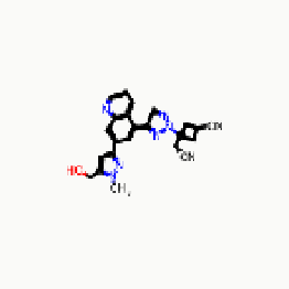 Cn1nc(-c2cc(-c3cnn(C4(CC#N)CC(C#N)C4)n3)c3cccnc3c2)cc1CO